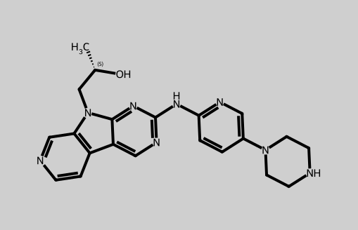 C[C@H](O)Cn1c2cnccc2c2cnc(Nc3ccc(N4CCNCC4)cn3)nc21